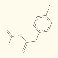 C=C(C)OC(=O)Cc1ccc(C(C)=O)cc1